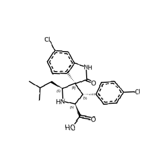 CC(C)C[C@@H]1N[C@H](C(=O)O)[C@@H](c2ccc(Cl)cc2)[C@]12C(=O)Nc1cc(Cl)ccc12